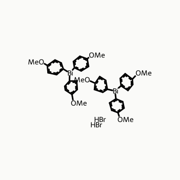 Br.Br.COc1cc[c]([Bi]([c]2ccc(OC)cc2)[c]2ccc(OC)cc2)cc1.COc1cc[c]([Bi]([c]2ccc(OC)cc2)[c]2ccc(OC)cc2)cc1